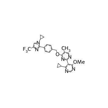 COc1ncnc(C2CC2)c1-c1ncc(C)c(OCc2ccc(-c3nc(C(F)(F)F)cn3C3CC3)cc2)n1